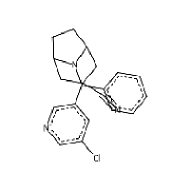 N#CC1(c2cncc(Cl)c2)CC2CCC(C1)N2Cc1ccccc1